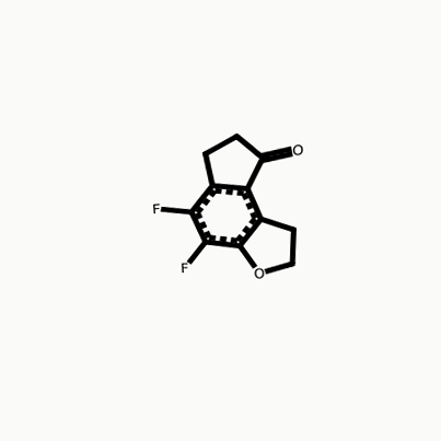 O=C1CCc2c(F)c(F)c3c(c21)CCO3